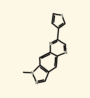 Cn1ncc2cc3ncc(-c4ccsc4)nc3cc21